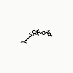 Cc1nc2n(c(=O)c1CCN1CCC(c3noc4cc(F)ccc34)CC1)CCCC2OC(=O)CCCCCCC(=O)O